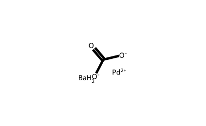 O=C([O-])[O-].[BaH2].[Pd+2]